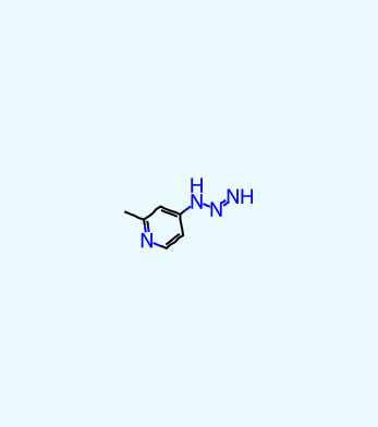 Cc1cc(NN=N)ccn1